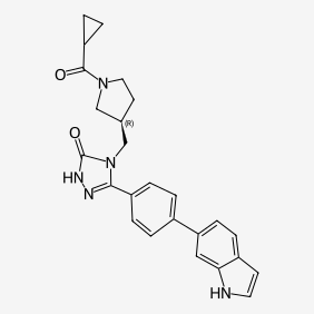 O=C(C1CC1)N1CC[C@@H](Cn2c(-c3ccc(-c4ccc5cc[nH]c5c4)cc3)n[nH]c2=O)C1